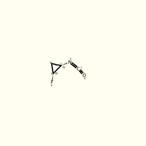 O=C=N[C@H]1C[C@H]1F